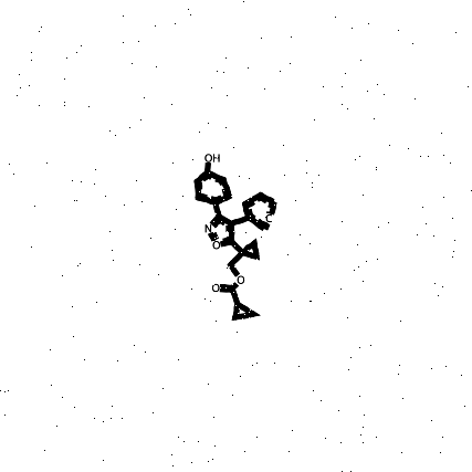 O=C(OCC1(c2onc(-c3ccc(O)cc3)c2-c2ccccc2)CC1)C1CC1